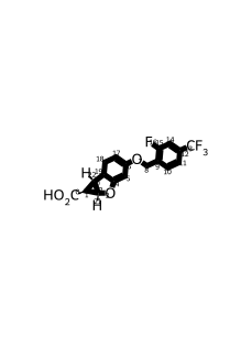 O=C(O)[C@H]1[C@@H]2OC3=CC(OCc4ccc(C(F)(F)F)cc4F)=CCC3[C@@H]21